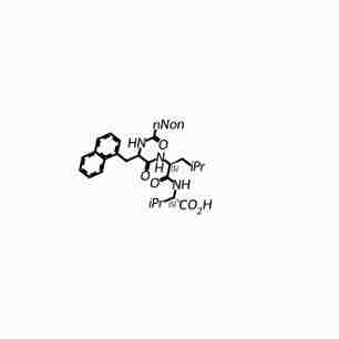 CCCCCCCCCC(=O)NC(Cc1cccc2ccccc12)C(=O)N[C@@H](CC(C)C)C(=O)N[C@H](C(=O)O)C(C)C